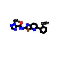 COc1ccccc1-c1ccc2nc(NC(=O)c3ncnn3C)sc2n1